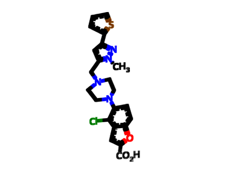 Cn1nc(-c2cccs2)cc1CN1CCN(c2ccc3oc(C(=O)O)cc3c2Cl)CC1